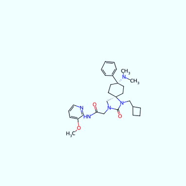 COc1cccnc1NC(=O)CN1C[C@]2(CC[C@@](c3ccccc3)(N(C)C)CC2)N(CC2CCC2)C1=O